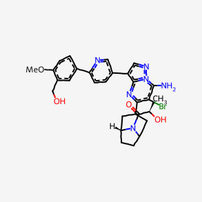 COc1ccc(-c2ccc(-c3cnn4c(N)c(Br)c(C5CC6CC[C@H](C5)N6C(=O)[C@@H](C)O)nc34)cn2)cc1CO